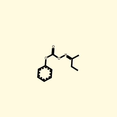 CCC(C)=NOC(=O)Oc1ccccc1